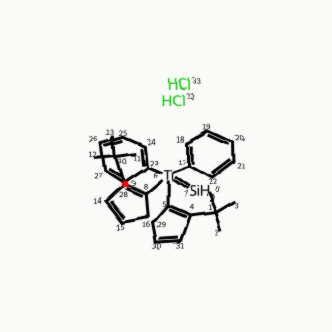 CC(C)(C)C1=[C]([Ti](=[SiH2])([C]2=C(C(C)(C)C)C=CC2)([c]2ccccc2)[c]2ccccc2)CC=C1.Cl.Cl